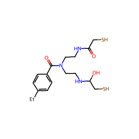 CCc1ccc(C(=O)N(CCNC(=O)CS)CCNC(O)CS)cc1